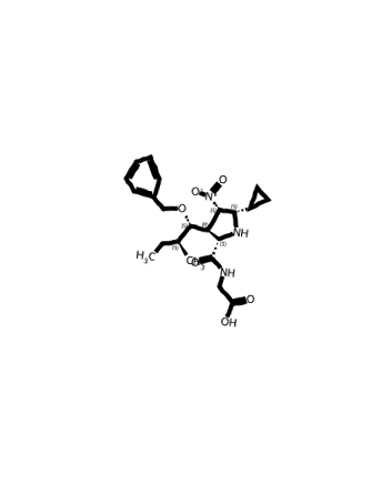 CC[C@H](C)[C@H](OCc1ccccc1)[C@H]1[C@H]([N+](=O)[O-])[C@H](C2CC2)N[C@@H]1C(=O)NCC(=O)O